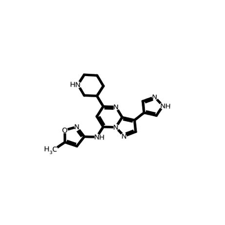 Cc1cc(Nc2cc(C3CCCNC3)nc3c(-c4cn[nH]c4)cnn23)no1